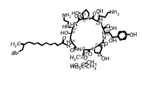 CC(=O)O.CC(=O)O.CCC(C)CC(C)CCCCCCCCC(=O)N[C@H]1C[C@@H](O)[C@@H](NCCN)NC(=O)[C@@H]2[C@@H](O)CCN2C(=O)[C@H]([C@H](O)CCN)NC(=O)[C@H]([C@H](O)[C@@H](O)c2ccc(O)cc2)NC(=O)[C@@H]2C[C@@H](O)CN2C(=O)[C@H]([C@@H](C)O)NC1=O